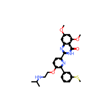 COc1cc(OC)c2c(=O)[nH]c(-c3ccc(OCCNC(C)C)c(-c4cccc(SC)c4)n3)nc2c1